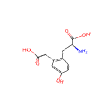 N[C@@H](Cc1ccc(O)cc1CC(=O)O)C(=O)O